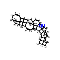 C1=CC2C3C4CC5C=CC6C7C8C9C%10CC%11CC%12C%13C%14C%15C%16C%17C=CC%18C%19C%20CC(C=CC2%20C%193C%184C=CC5%17C6%16NC7%15C8%14C=CC9%13C%11%10%12)C1